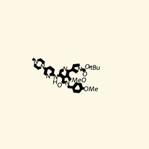 COc1ccc(CN2Cc3c(-c4ccn(C(=O)OC(C)(C)C)c4)ncc(Nc4ccc(N5CCN(C)CC5)cn4)c3C2=O)c(OC)c1